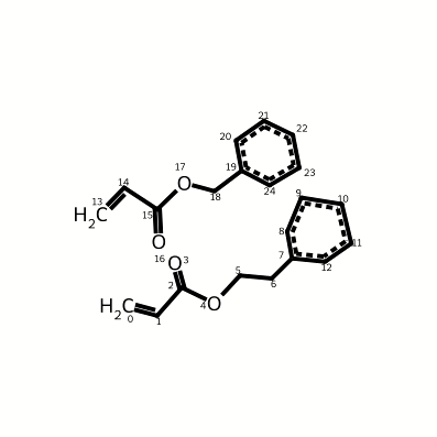 C=CC(=O)OCCc1ccccc1.C=CC(=O)OCc1ccccc1